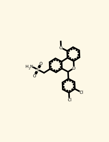 COc1cccc2c1-c1ccc(CS(N)(=O)=O)cc1C(c1ccc(Cl)c(Cl)c1)O2